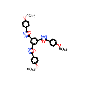 CCCCCCCCOc1ccc(-c2nnc(-c3cc(-c4nnc(-c5ccc(OCCCCCCCC)cc5)o4)cc(-c4nnc(-c5ccc(OCCCCCCCC)cc5)o4)c3)o2)cc1